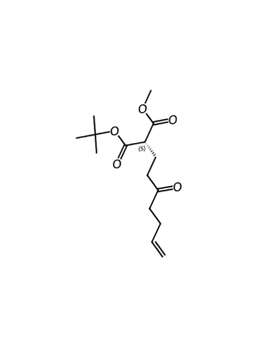 C=CCCC(=O)CC[C@@H](C(=O)OC)C(=O)OC(C)(C)C